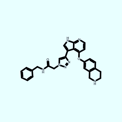 O=C(Cn1cc(-c2c[nH]c3nccc(Oc4ccc5c(c4)CNCC5)c23)nn1)NCc1ccccc1